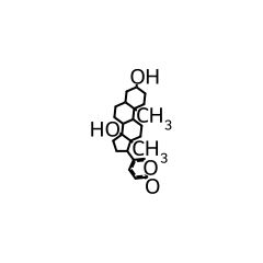 CC12CCC(O)CC1CCC1C2CCC2(C)C(c3ccc(=O)oc3)CCC12O